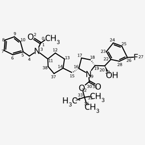 CC(=O)N(Cc1ccccc1)C1CCC(C[C@@H]2CC[C@H]([C@H](O)c3cccc(F)c3)N2C(=O)OC(C)(C)C)CC1